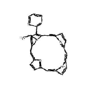 CCn1c2cc3nc(cc4ccc(cc5nc(cc1c(-c1ccccn1)c2)C=C5)[nH]4)C=C3